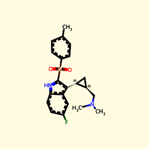 Cc1ccc(S(=O)(=O)c2[nH]c3ccc(F)cc3c2[C@@H]2C[C@H]2CN(C)C)cc1